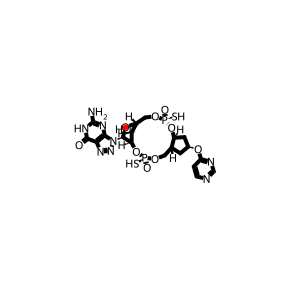 Nc1nc2c(nnn2[C@@H]2O[C@@H]3CO[P@](=O)(S)O[C@H]4C[C@H](Oc5ccncn5)C[C@@H]4CO[P@@](=O)(S)O[C@@H]2[C@@H]3O)c(=O)[nH]1